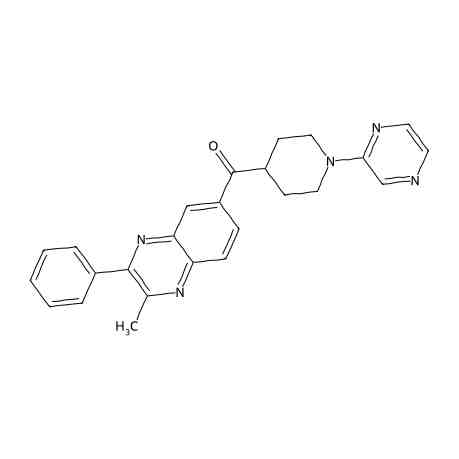 Cc1nc2ccc(C(=O)C3CCN(c4cnccn4)CC3)cc2nc1-c1ccccc1